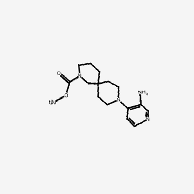 CC(C)(C)OC(=O)N1CCCC2(CCN(c3ccncc3N)CC2)C1